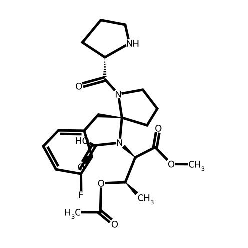 COC(=O)[C@@H]([C@@H](C)OC(C)=O)N(C(=O)O)[C@@]1(Cc2cccc(F)c2)CCCN1C(=O)[C@@H]1CCCN1